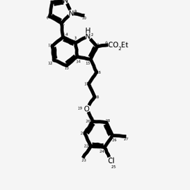 CCOC(=O)c1[nH]c2c(-c3ccnn3C)cccc2c1CCCOc1cc(C)c(Cl)c(C)c1